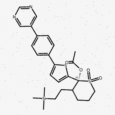 CC(=O)O[C@@]1(c2ccc(-c3ccc(-c4cncnc4)cc3)s2)C(CC[Si](C)(C)C)CCCS1(=O)=O